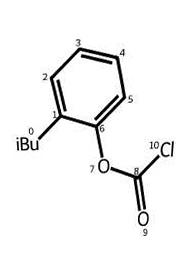 CCC(C)c1ccccc1OC(=O)Cl